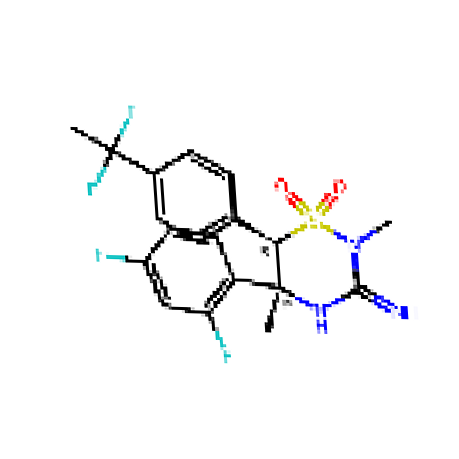 CN1C(=N)N[C@](C)(c2ccc(F)cc2F)[C@@H](c2ccc(C(C)(F)F)cc2)S1(=O)=O